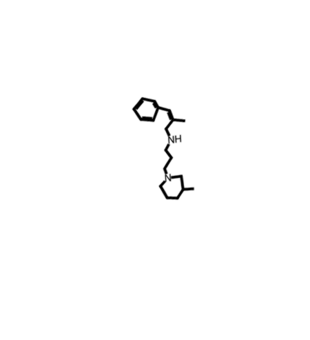 CC(=Cc1ccccc1)CNCCCN1CCCC(C)C1